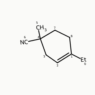 CCC1=CCC(C)(C#N)CC1